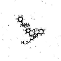 CCCCc1nn(-c2ccccc2Cl)c(=O)n1Cc1ccc(S(=O)(=O)NC(=O)c2ccccc2)cc1